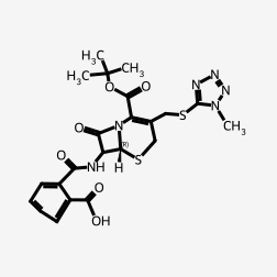 Cn1nnnc1SCC1=C(C(=O)OC(C)(C)C)N2C(=O)C(NC(=O)c3ccccc3C(=O)O)[C@H]2SC1